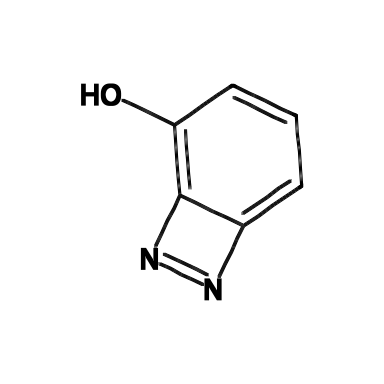 Oc1cccc2c1N=N2